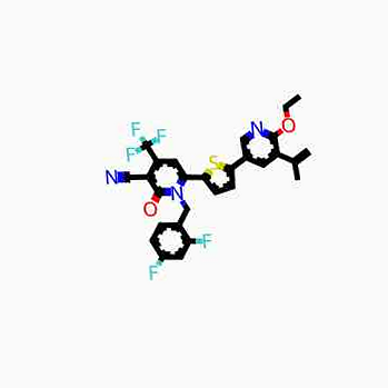 C=C(C)c1cc(-c2ccc(-c3cc(C(F)(F)F)c(C#N)c(=O)n3Cc3ccc(F)cc3F)s2)cnc1OCC